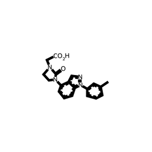 Cc1cccc(-n2ncc3c(N4CCN(CC(=O)O)C4=O)cccc32)c1